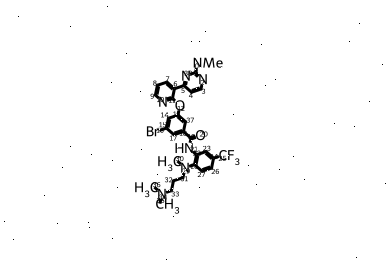 CNc1nccc(-c2cccnc2Oc2cc(Br)cc(C(=O)Nc3cc(C(F)(F)F)ccc3N(C)CCCN(C)C)c2)n1